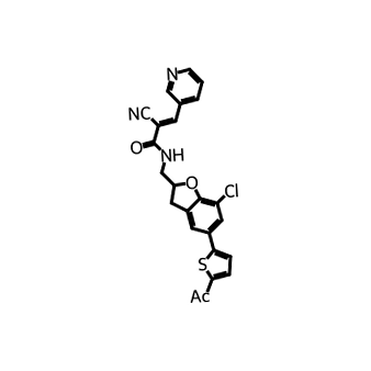 CC(=O)c1ccc(-c2cc(Cl)c3c(c2)CC(CNC(=O)C(C#N)=Cc2cccnc2)O3)s1